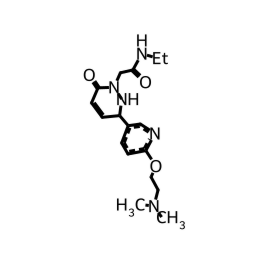 CCNC(=O)CN1NC(c2ccc(OCCN(C)C)nc2)C=CC1=O